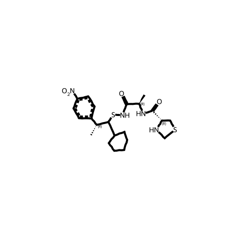 C[C@H](c1ccc([N+](=O)[O-])cc1)C(SNC(=O)[C@@H](C)NC(=O)[C@@H]1CSCN1)C1CCCCC1